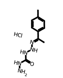 C/C(=N\NNC(=O)NN)c1ccc(C)cc1.Cl